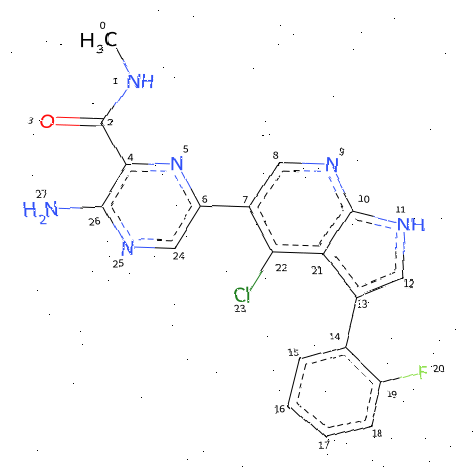 CNC(=O)c1nc(-c2cnc3[nH]cc(-c4ccccc4F)c3c2Cl)cnc1N